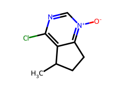 CC1CCc2c1c(Cl)nc[n+]2[O-]